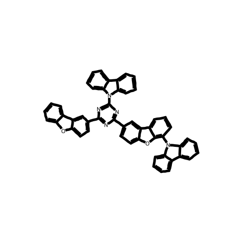 c1ccc2c(c1)oc1ccc(-c3nc(-c4ccc5oc6c(-n7c8ccccc8c8ccccc87)cccc6c5c4)nc(-n4c5ccccc5c5ccccc54)n3)cc12